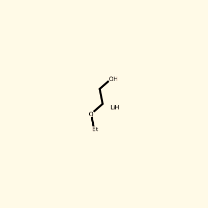 CCOCCO.[LiH]